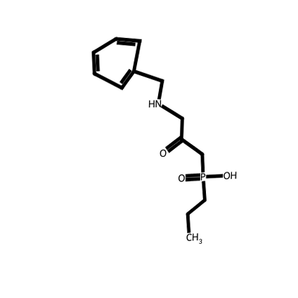 CCCP(=O)(O)CC(=O)CNCc1ccccc1